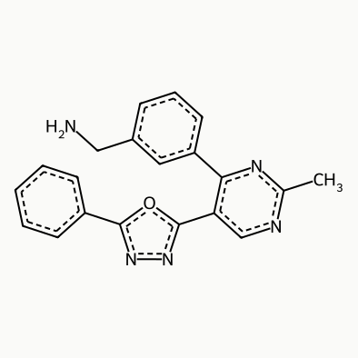 Cc1ncc(-c2nnc(-c3ccccc3)o2)c(-c2cccc(CN)c2)n1